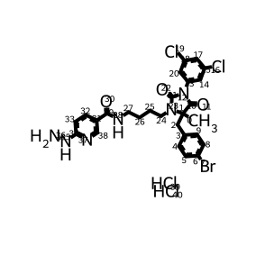 CC1(Cc2ccc(Br)cc2)C(=O)N(c2cc(Cl)cc(Cl)c2)C(=O)N1CCCCNC(=O)c1ccc(NN)nc1.Cl.Cl